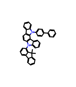 CC1(C)c2ccccc2-c2cccc(-n3c4ccccc4c4c3ccc3c5ccccc5n(-c5ccc(-c6ccccc6)cc5)c34)c21